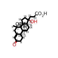 CC1(C(=O)O)CC2=CC(=O)CC[C@]2(C)C2=CC[C@@]3(C)[C@@H](CC[C@]3(O)CCC(=O)O)[C@@H]21